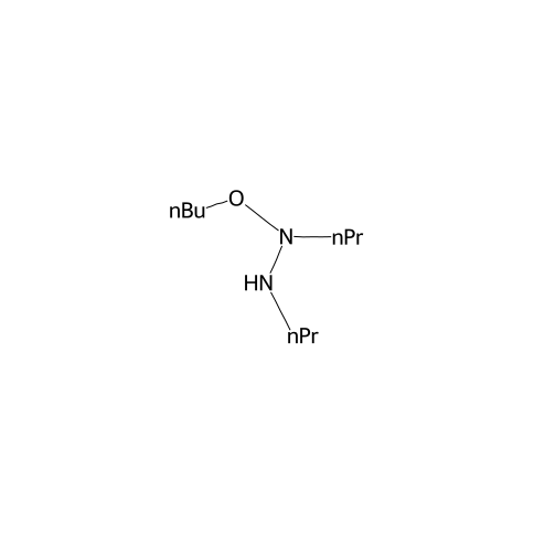 CCCCON(CCC)NCCC